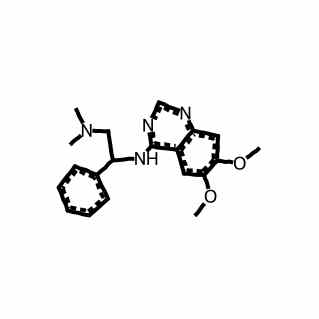 COc1cc2ncnc(NC(CN(C)C)c3ccccc3)c2cc1OC